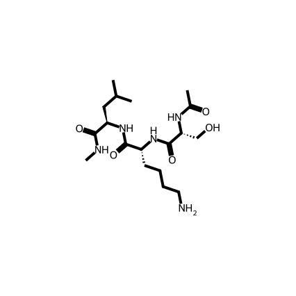 CNC(=O)[C@@H](CC(C)C)NC(=O)[C@@H](CCCCN)NC(=O)[C@@H](CO)NC(C)=O